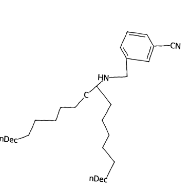 CCCCCCCCCCCCCCCCC(CCCCCCCCCCCCCCC)NCc1cccc(C#N)c1